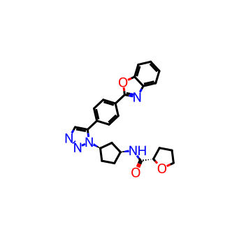 O=C(N[C@H]1CC[C@@H](n2nncc2-c2ccc(-c3nc4ccccc4o3)cc2)C1)[C@@H]1CCCO1